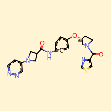 O=C(Nc1ccc(O[C@@H]2CCN(C(=O)c3cscn3)C2)cc1)C1CN(c2ccnnc2)C1